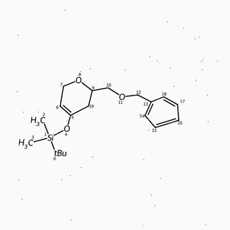 CC(C)(C)[Si](C)(C)OC1=CCOC(COCc2ccccc2)C1